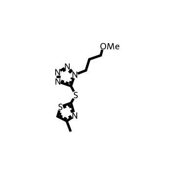 COCCCn1nnnc1Sc1nc(C)cs1